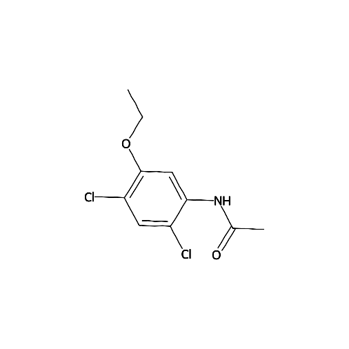 CCOc1cc(NC(C)=O)c(Cl)cc1Cl